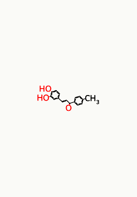 Cc1ccc(C(=O)C=Cc2ccc(O)c(O)c2)cc1